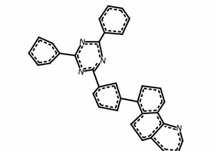 c1ccc(-c2nc(-c3ccccc3)nc(-c3cccc(-c4cccc5c4ccc4cccnc45)c3)n2)cc1